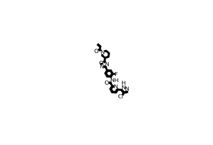 C=CC(=O)N1CCCC(c2nc(-c3ccc(NC(=O)c4cccc(-c5[nH]ncc5Cl)n4)c(F)c3)no2)C1